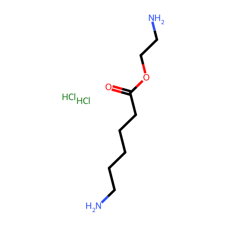 Cl.Cl.NCCCCCC(=O)OCCN